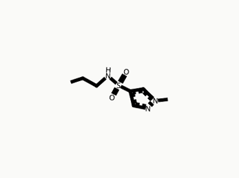 CCCNS(=O)(=O)c1cnn(C)c1